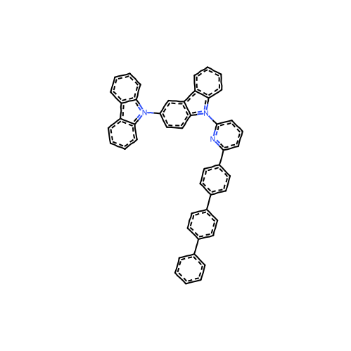 c1ccc(-c2ccc(-c3ccc(-c4cccc(-n5c6ccccc6c6cc(-n7c8ccccc8c8ccccc87)ccc65)n4)cc3)cc2)cc1